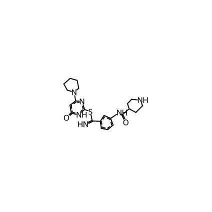 N=C(Sc1nc(N2CCCCC2)cc(=O)[nH]1)c1cccc(NC(=O)C2CCNCC2)c1